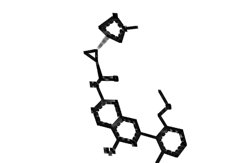 COCc1cccc(C)c1-c1cc2cc(NC(=O)[C@H]3C[C@@H]3c3cnn(C)c3)ncc2c(N)n1